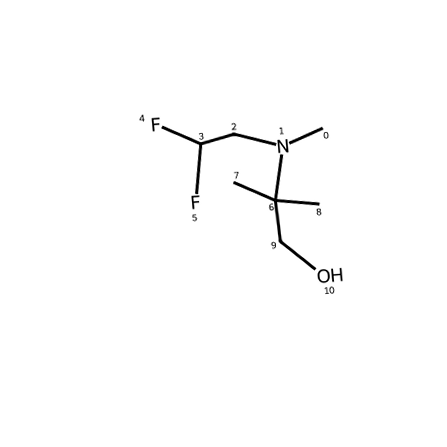 CN(CC(F)F)C(C)(C)CO